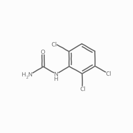 NC(=O)Nc1c(Cl)ccc(Cl)c1Cl